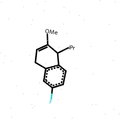 COC1=CCc2cc(F)ccc2C1C(C)C